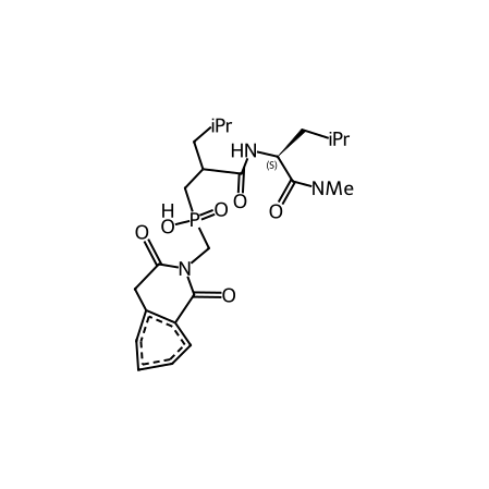 CNC(=O)[C@H](CC(C)C)NC(=O)C(CC(C)C)CP(=O)(O)CN1C(=O)Cc2ccccc2C1=O